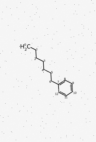 [CH2]CCCCCCc1ccccc1